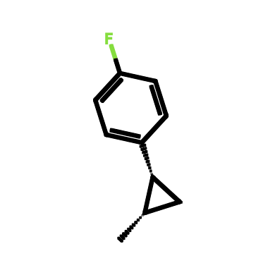 C[C@H]1C[C@H]1c1ccc(F)cc1